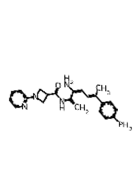 C=C(NC(=O)C1CN(c2ccccn2)C1)/C(N)=C\C=C(/C)c1ccc(P)cc1